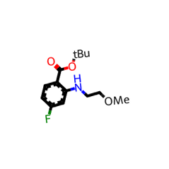 COCCNc1cc(F)ccc1C(=O)OC(C)(C)C